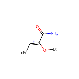 CCC/C=C(\OCC)C(N)=O